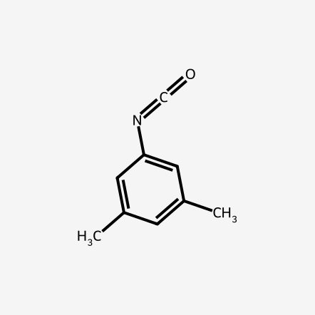 Cc1cc(C)cc(N=C=O)c1